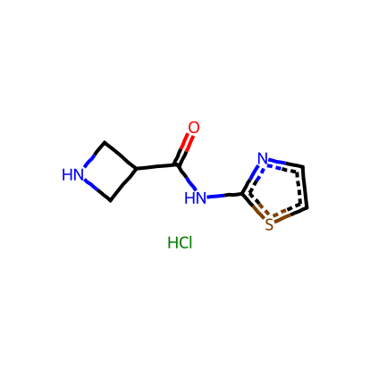 Cl.O=C(Nc1nccs1)C1CNC1